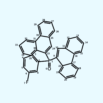 O=P(c1cccc(F)c1)(c1cc2ccccc2c2ccccc12)c1cc2ccccc2c2ccccc12